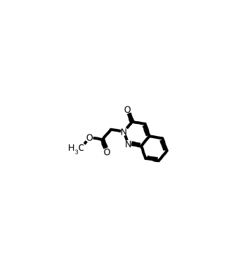 COC(=O)Cn1nc2ccccc2cc1=O